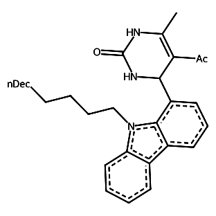 CCCCCCCCCCCCCCn1c2ccccc2c2cccc(C3NC(=O)NC(C)=C3C(C)=O)c21